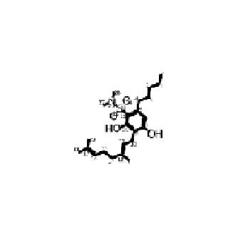 CCCCCc1cc(O)c(C/C=C(\C)CCC=C(C)C)c(O)c1S(=O)(=O)N(C)C